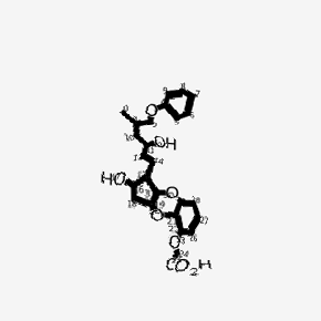 CC(COc1ccccc1)CC(O)C=CC1C(O)CC2Oc3c(OCC(=O)O)cccc3OC21